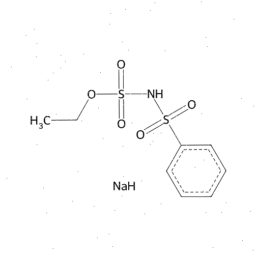 CCOS(=O)(=O)NS(=O)(=O)c1ccccc1.[NaH]